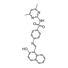 Cc1cc(C)nc(NS(=O)(=O)c2ccc(N=Cc3c(O)ccc4ccccc34)cc2)n1